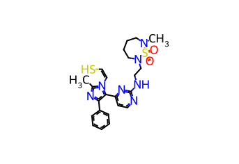 Cc1nc(-c2ccccc2)c(-c2ccnc(NCCN3CCCCN(C)S3(=O)=O)n2)n1/C=C\S